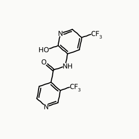 O=C(Nc1cc(C(F)(F)F)cnc1O)c1ccncc1C(F)(F)F